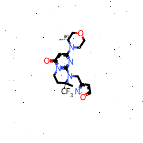 C[C@@H]1COCCN1c1cc(=O)n2c(n1)N(Cc1ccon1)[C@](C)(C(F)(F)F)CC2